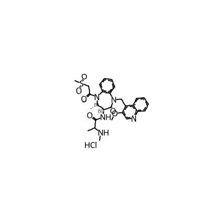 CNC(C)C(=O)N[C@@H]1C(=O)N(Cc2c(OC)cnc3ccccc23)c2ccccc2N(C(=O)CS(C)(=O)=O)[C@H]1C.Cl